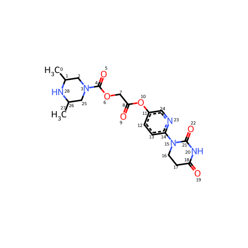 CC1CN(C(=O)OCC(=O)Oc2ccc(N3CCC(=O)NC3=O)nc2)CC(C)N1